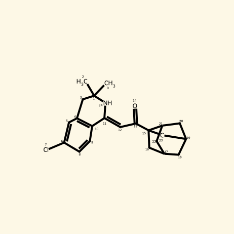 CC1(C)Cc2cc(Cl)ccc2/C(=C/C(=O)C23CC4CC(CC2C4)C3)N1